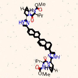 COC(=O)N[C@H](C(=O)N1C(c2nc(-c3ccc4cc(-c5ccc6cc(-c7c[nH]c([C@@H]8C[C@H]9C[C@H]9N8C(=O)[C@@H](NC(=O)OC)C(C)C)n7)ccc6c5)ccc4c3)c[nH]2)C[C@H]2C[C@H]21)C(C)C